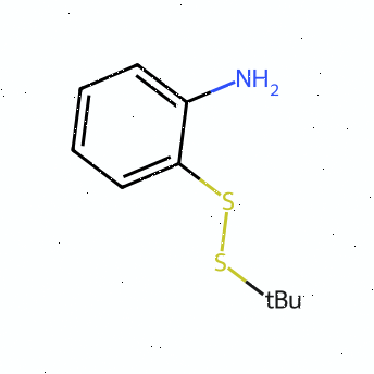 CC(C)(C)SSc1ccccc1N